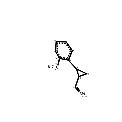 C=CC1CC1c1ccccc1C(=O)OCC